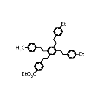 CCOC(=O)c1ccc(CCc2cc(CCc3ccc(CC)cc3)c(CCc3ccc(CC)cc3)cc2CCc2ccc(C)cc2)cc1